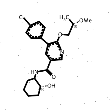 CO[C@@H](C)COc1ncc(C(=O)NC2CCCC[C@H]2O)cc1-c1ccc(Cl)cc1